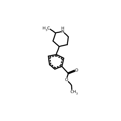 CCOC(=O)c1cccc(C2CCNC(C)C2)c1